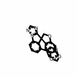 c1cc(-c2cncnc2)c2c(c1)-n1ncnc1C21COc2cc3c(cc21)OCO3